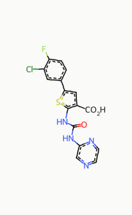 O=C(Nc1cnccn1)Nc1sc(-c2ccc(F)c(Cl)c2)cc1C(=O)O